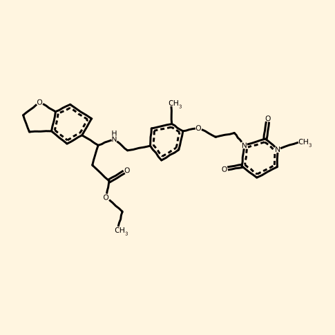 CCOC(=O)CC(NCc1ccc(OCCn2c(=O)ccn(C)c2=O)c(C)c1)c1ccc2c(c1)CCO2